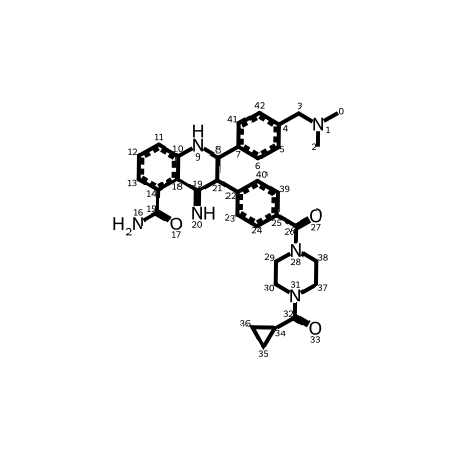 CN(C)Cc1ccc(C2Nc3cccc(C(N)=O)c3C(=N)C2c2ccc(C(=O)N3CCN(C(=O)C4CC4)CC3)cc2)cc1